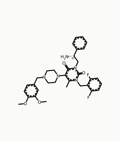 COc1ccc(CN2CCN(c3c(C)n(Cc4c(F)cccc4F)c(=O)n(C[C@H](N)c4ccccc4)c3=O)CC2)cc1OC